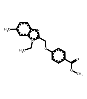 CCn1c(COc2ccc(C(=O)OC)cc2)nc2ccc(C)cc21